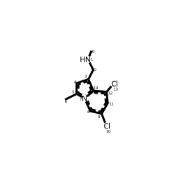 CNCc1cc(C)n2cc(Cl)cc(Cl)c12